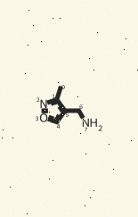 Cc1nocc1CN